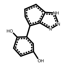 Oc1ccc(O)c(-c2cccc3[nH]nnc23)c1